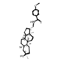 COc1ccc(C(=O)NC[C@H]2CC[C@H]3[C@@H]4CC[C@@H]5C[C@](C)(O)CC[C@@H]5[C@H]4CC[C@]23C)cc1